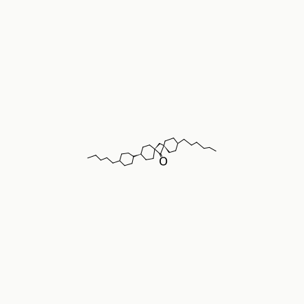 CCCCCCC1CC[C@]2(CC1)C[C@@]1(CC[C@H](C3CCC(CCCCC)CC3)CC1)C2=O